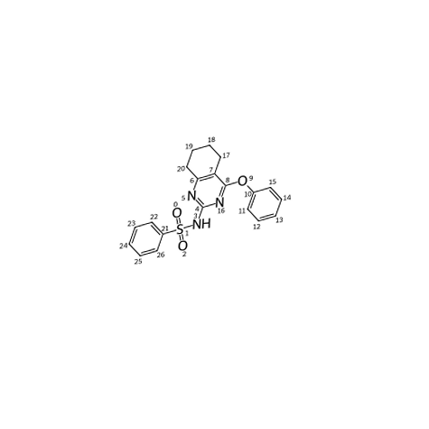 O=S(=O)(Nc1nc2c(c(Oc3ccccc3)n1)CCCC2)c1ccccc1